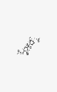 O=S(=O)(c1ccc(CC2CO2)c(Cl)c1)c1ccc(CC2CO2)c(Cl)c1